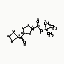 CC(C)(C)OC(=O)N1CCC(C(=O)C2CCC2)C1